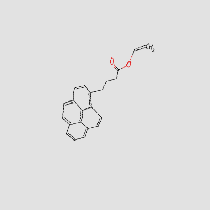 C=COC(=O)CCCc1ccc2ccc3cccc4ccc1c2c34